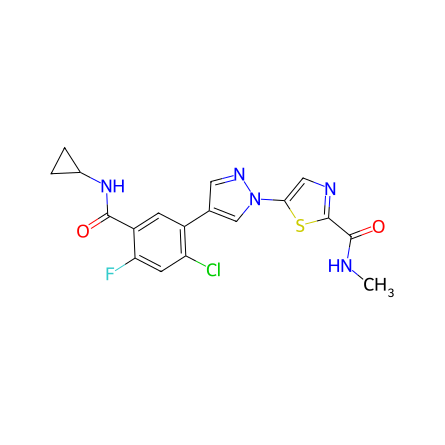 CNC(=O)c1ncc(-n2cc(-c3cc(C(=O)NC4CC4)c(F)cc3Cl)cn2)s1